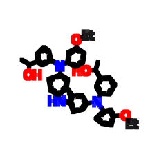 CCOc1cccc(N(c2cccc(C(C)O)c2)c2ccc3[nH]c4ccc(N(c5cccc(OCC)c5)c5cccc(C(C)O)c5)cc4c3c2)c1